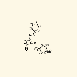 O=C1OC(CCc2ccccc2)C1CCc1ccc(Cl)cc1